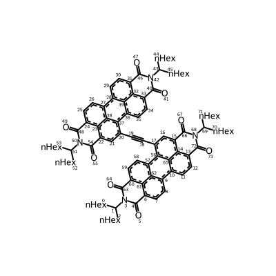 CCCCCCC(CCCCCC)N1C(=O)c2ccc3c4ccc5c6c(cc(C#Cc7cc8c9c(ccc%10c%11ccc%12c%13c(ccc(c7c9%10)c%13%11)C(=O)N(C(CCCCCC)CCCCCC)C%12=O)C(=O)N(C(CCCCCC)CCCCCC)C8=O)c(c7ccc(c2c37)C1=O)c64)C(=O)N(C(CCCCCC)CCCCCC)C5=O